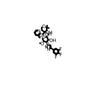 CO[C@H]1C[SH]([C@H](c2ncccc2C)[C@@]2(O)CCOC(C)(C)C2)[C@H](CO)[C@H](O)[C@@H]1n1cc(-c2cc(F)c(F)c(F)c2)nn1